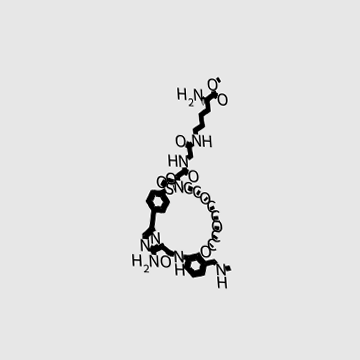 CNCc1cccc2c1OCCOCCOCCN(CC(=O)NCC(=O)NCCCC[C@@H](N)C(=O)OC)S(=O)(=O)c1ccc(cc1)-c1cnc(N)c(n1)C(=O)N2